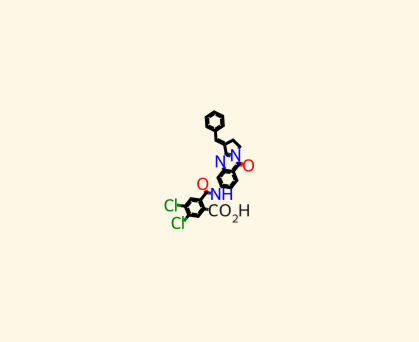 O=C(O)c1cc(Cl)c(Cl)cc1C(=O)Nc1ccc2c(=O)n3c(nc2c1)C(=Cc1ccccc1)CC3